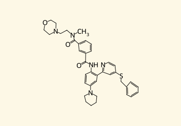 CN(CCN1CCOCC1)C(=O)c1cccc(C(=O)Nc2ccc(N3CCCCC3)cc2-c2cc(SCc3ccccc3)ccn2)c1